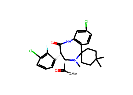 COC(=O)[C@H]1[C@H](c2cccc(Cl)c2F)C(=O)Nc2cc(Cl)ccc2C2(CCC(C)(C)CC2)N1C